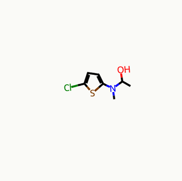 CC(O)N(C)c1ccc(Cl)s1